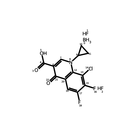 B.F.F.O=C(O)c1cn(C2CC2)c2c(Cl)c(F)c(F)cc2c1=O